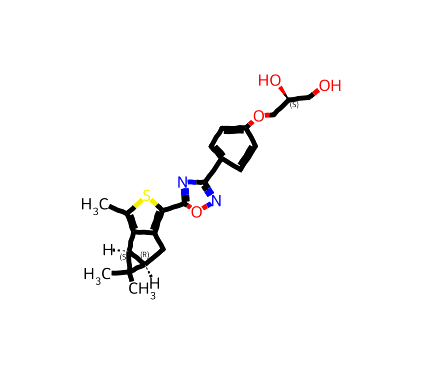 Cc1sc(-c2nc(-c3ccc(OC[C@@H](O)CO)cc3)no2)c2c1[C@H]1[C@@H](C2)C1(C)C